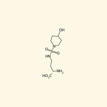 N[C@@H](CCNS(=O)(=O)N1CCC(O)CC1)C(=O)O